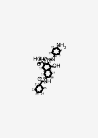 Nc1ccc(N=Nc2c(S(=O)(=O)O)cc3cc(NC(=O)c4ccccc4)ccc3c2O)cc1